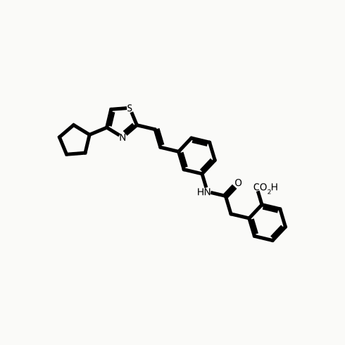 O=C(Cc1ccccc1C(=O)O)Nc1cccc(C=Cc2nc(C3CCCC3)cs2)c1